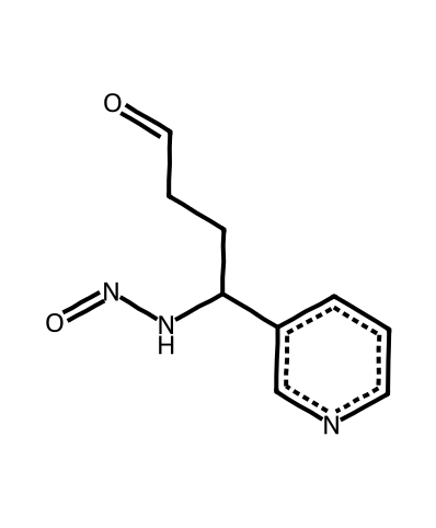 O=CCCC(NN=O)c1cccnc1